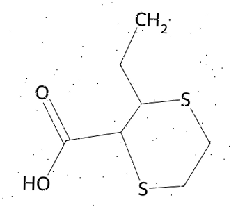 [CH2]CC1SCCSC1C(=O)O